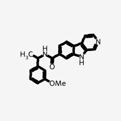 COc1cccc(C(C)NC(=O)c2ccc3c(c2)[nH]c2cnccc23)c1